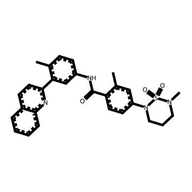 Cc1cc(N2CCCN(C)S2(=O)=O)ccc1C(=O)Nc1ccc(C)c(-c2ccc3ccccc3n2)c1